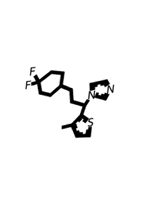 Cc1ccsc1C(CCC1CCC(F)(F)CC1)n1ccnc1